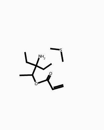 C=CC(=O)OC(C)C(N)(CC)CC.CSC